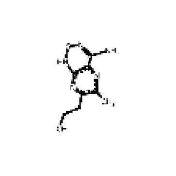 CCCc1nc2c(nc1C)C(N)=NSN2